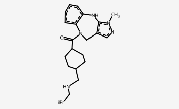 CC(C)CNCC1CCC(C(=O)N2Cc3cnn(C)c3Nc3ccccc32)CC1